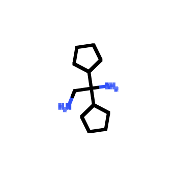 NCC(N)(C1CCCC1)C1CCCC1